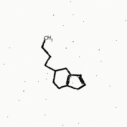 CCCCC1CCC2=C(C=C[CH]2)C1